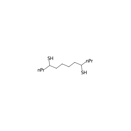 CCCC(S)CCCCC(S)CCC